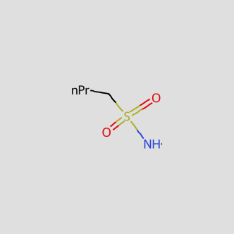 CCCCS([NH])(=O)=O